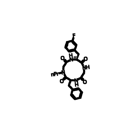 CCCN1CC(=O)N[C@@H](Cc2cccc(F)c2)C(=O)NCC(=O)NC(Cc2ccccc2)C1=O